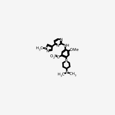 COc1cc(N2CCC(N(C)C)CC2)c(O[N+](=O)[O-])cc1Nc1nccc(-c2cnn(C)c2)n1